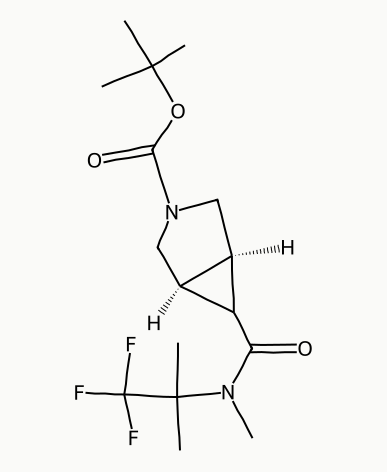 CN(C(=O)C1[C@H]2CN(C(=O)OC(C)(C)C)C[C@@H]12)C(C)(C)C(F)(F)F